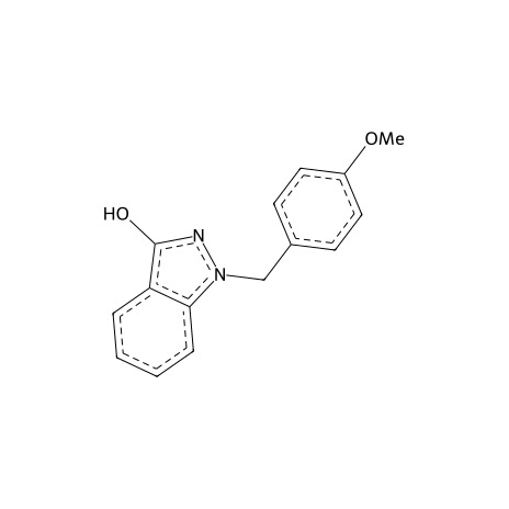 COc1ccc(Cn2nc(O)c3ccccc32)cc1